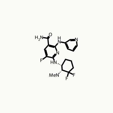 CN[C@@H]1[C@H](Nc2nc(Nc3cccnc3)c(C(N)=O)cc2F)CCCC1(F)F